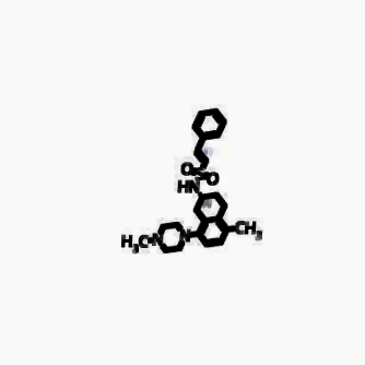 Cc1ccc(N2CCN(C)CC2)c2c1CC[C@@H](NS(=O)(=O)/C=C/c1ccccc1)C2